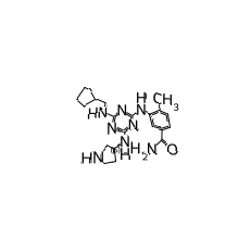 Cc1ccc(C(N)=O)cc1Nc1nc(NCC2CCCC2)nc(N[C@H]2CCNC2)n1